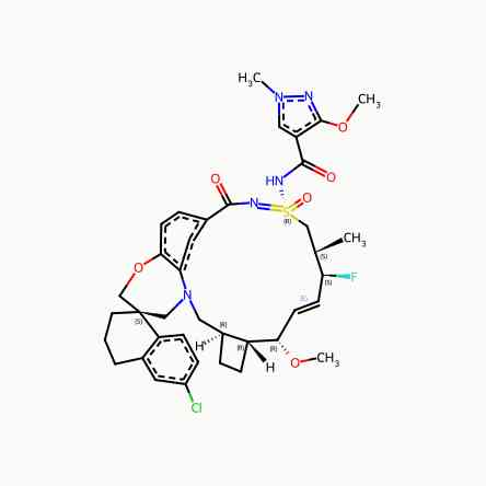 COc1nn(C)cc1C(=O)N[S@@]1(=O)=NC(=O)c2ccc3c(c2)N(C[C@@H]2CC[C@H]2[C@@H](OC)/C=C/[C@H](F)[C@H](C)C1)C[C@@]1(CCCc2cc(Cl)ccc21)CO3